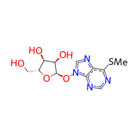 CSc1ncnc2c1ncn2O[C@H]1O[C@H](CO)[C@@H](O)[C@H]1O